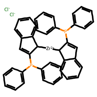 C1=C(P(c2ccccc2)c2ccccc2)[CH]([Zr+2][CH]2C(P(c3ccccc3)c3ccccc3)=Cc3ccccc32)c2ccccc21.[Cl-].[Cl-]